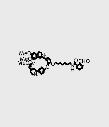 COC1=CC2=C3CC1Oc1c(OC)c(OC)cc4c1[C@@H](Cc1ccc(OCCCCCCCNC(=O)c5ccccc5C=O)c(c1)Oc1ccc(cc1)C3N(C)CC2)N(C)CC4